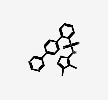 Cc1noc(NS(=O)(=O)c2ccccc2-c2ccc(-c3cncnc3)cc2)c1C